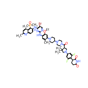 CCOc1cc(N2CCC(N3CCN(C(=O)C4CN(c5cc(F)c(C6CCC(=O)NC6=O)c(F)c5)CC4(C)C)CC3)CC2)c(C)cc1Nc1ncc(Br)c(Nc2ccc3nc(C)ccc3c2P(C)(C)=O)n1